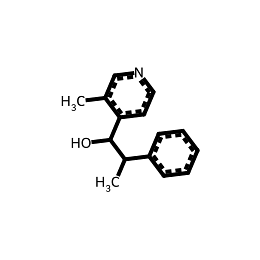 Cc1cnccc1C(O)C(C)c1ccccc1